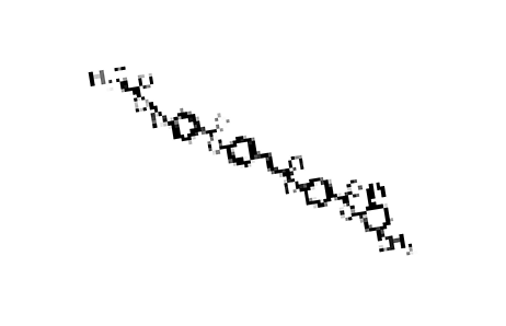 C=CC(=O)OCOc1ccc(C(=O)Oc2ccc(/C=C/C(=O)Oc3ccc(C(=O)OC4CC(C)CCC4C(C)C)cc3)cc2)cc1